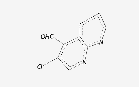 O=Cc1c(Cl)cnc2ncccc12